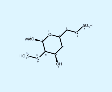 CO[C@H]1OC(COS(=O)(=O)O)C[C@@H](O)C1NS(=O)(=O)O